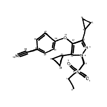 CCS(=O)(=O)Cn1nc(C2CC2)c(Oc2ccc(C#N)cc2)c1C1CC1